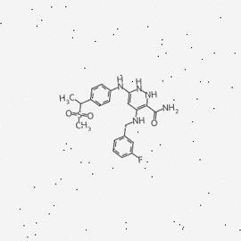 CC(c1ccc(NC2=CC(NCc3cccc(F)c3)=C(C(N)=O)NN2)cc1)S(C)(=O)=O